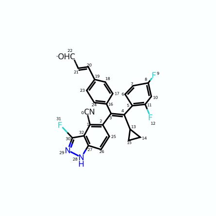 N#Cc1c(/C(=C(/c2ccc(F)cc2F)C2CC2)c2ccc(/C=C/[C]=O)cc2)ccc2[nH]nc(F)c12